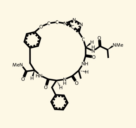 CNC(=O)[C@@H]1Cc2ccc(cc2)OCCn2cc(nn2)C[C@H](NC(=O)[C@H](C)NC)C(=O)N[C@@H](C)C(=O)N[C@@H](Cc2ccccc2)C(=O)N1